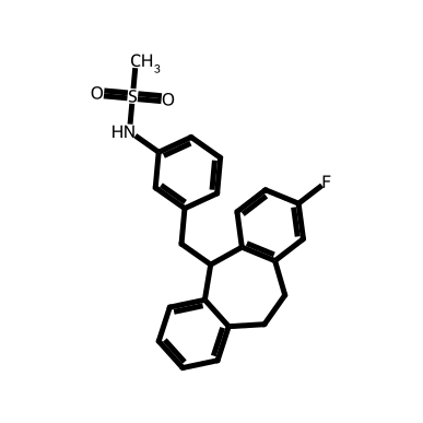 CS(=O)(=O)Nc1cccc(CC2c3ccccc3CCc3cc(F)ccc32)c1